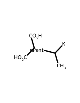 CCCCC[CH](C)[K].O=C(O)CC(=O)O